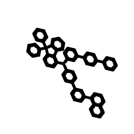 c1ccc(-c2ccc(-c3cccc(N(c4ccc(-c5cccc(-c6cccc7ccccc67)c5)cc4)c4cccc5c4-c4ccccc4C5(c4ccccc4)c4ccccc4)c3)cc2)cc1